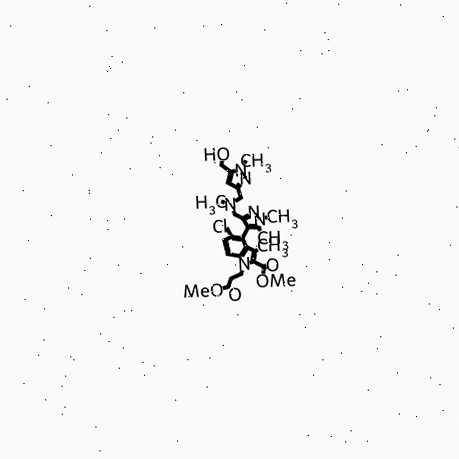 COC(=O)CCn1c(C(=O)OC)c(C)c2c(-c3c(CN(C)Cc4cc(CO)n(C)n4)nn(C)c3C)c(Cl)ccc21